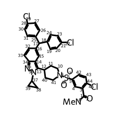 CNC(=O)c1cc(S(=O)(=O)N2CCC(c3c4cc(C(c5ccc(Cl)cc5)c5ccc(Cl)cc5)ccc4nn3C3CC3)CC2)ccc1Cl